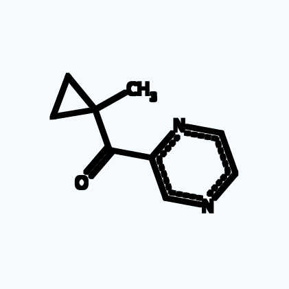 CC1(C(=O)c2cnccn2)CC1